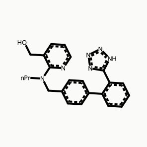 CCCN(Cc1ccc(-c2ccccc2-c2nnn[nH]2)cc1)c1ncccc1CO